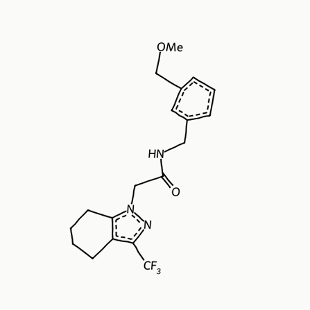 COCc1cccc(CNC(=O)Cn2nc(C(F)(F)F)c3c2CCCC3)c1